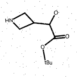 CC(C)(C)OC(=O)C([O])C1CNC1